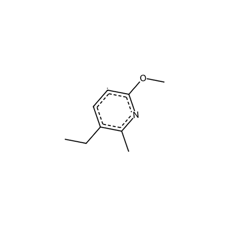 CCc1c[c]c(OC)nc1C